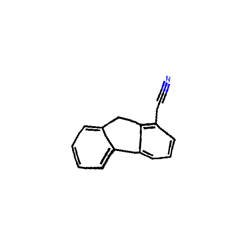 N#Cc1cccc2c1Cc1ccccc1-2